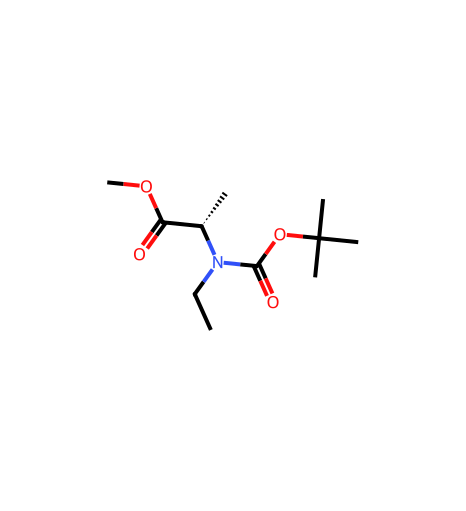 CCN(C(=O)OC(C)(C)C)[C@@H](C)C(=O)OC